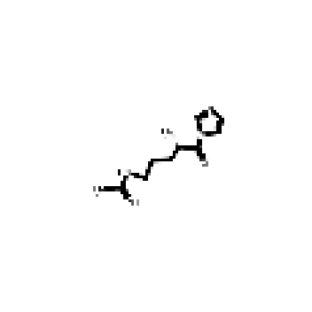 N=C(N)NCCC[C@H](N)C(=O)n1ccnc1